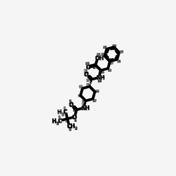 CC(C)(C)OC(=O)N[C@H]1CC[C@H](C(=O)NC(Cc2ccccc2)C(=O)O)CC1